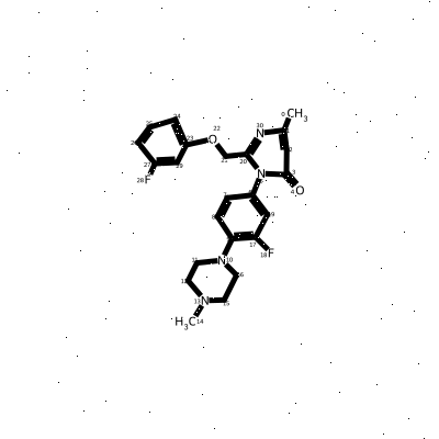 Cc1cc(=O)n(-c2ccc(N3CCN(C)CC3)c(F)c2)c(COc2cccc(F)c2)n1